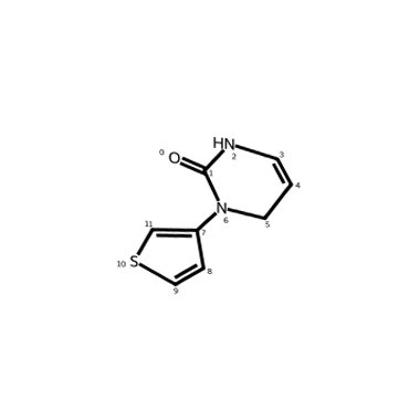 O=C1NC=CCN1c1ccsc1